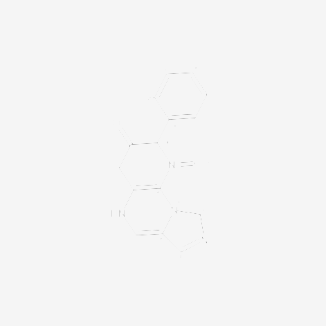 O=C1CC2=C(N3CN=CC3=CN2)[N+](=O)C1c1ccccc1